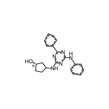 O[C@@H]1CCC(Nc2nc(Nc3ccccc3)nc(-c3ccccc3)n2)C1